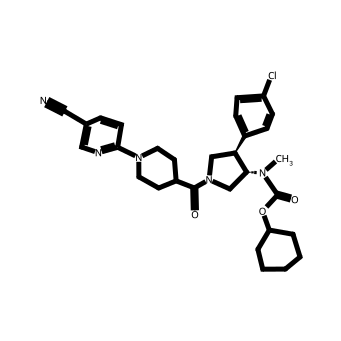 CN(C(=O)OC1CCCCC1)[C@@H]1CN(C(=O)C2CCN(c3ccc(C#N)cn3)CC2)C[C@H]1c1ccc(Cl)cc1